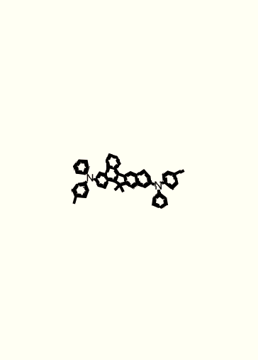 Cc1ccc(N(c2ccccc2)c2ccc3cc4c(cc3c2)C(C)(C)c2c-4c3ccccc3c3cc(N(c4ccccc4)c4ccc(C)cc4)ccc23)cc1